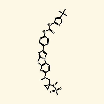 CN(CC1(N(C)S(C)(=O)=O)CC1)c1ccc2c(n1)sc1nc(-c3ccc(NC(=O)Nc4cc(C(C)(C)C)on4)cc3)cn12